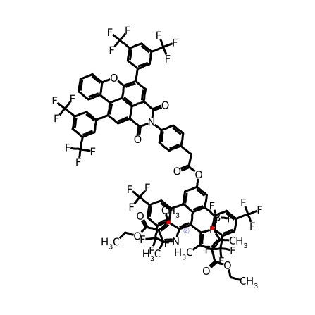 CCOC(=O)C1=C(C)/C(=C(\c2c(-c3cc(C(F)(F)F)cc(C(F)(F)F)c3)cc(OC(=O)Cc3ccc(-n4c(=O)c5cc(-c6cc(C(F)(F)F)cc(C(F)(F)F)c6)c6oc7ccccc7c7c(-c8cc(C(F)(F)F)cc(C(F)(F)F)c8)cc(c4=O)c5c67)cc3)cc2-c2cc(C(F)(F)F)cc(C(F)(F)F)c2)c2c(C)c(C(=O)OCC)c(C)n2B(F)F)N=C1C